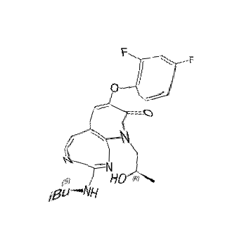 CC[C@H](C)Nc1ncc2cc(Oc3ccc(F)cc3F)c(=O)n(C[C@@H](C)O)c2n1